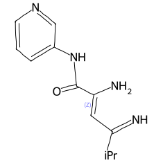 CC(C)C(=N)/C=C(\N)C(=O)Nc1cccnc1